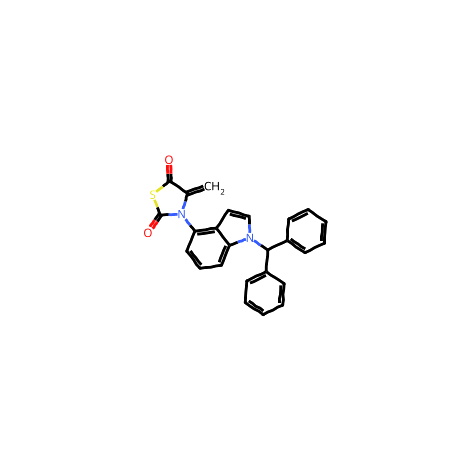 C=C1C(=O)SC(=O)N1c1cccc2c1ccn2C(c1ccccc1)c1ccccc1